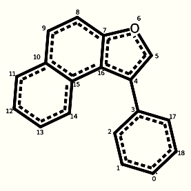 [c]1ccc(-c2coc3ccc4ccccc4c23)cc1